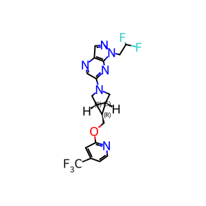 FC(F)Cn1ncc2ncc(N3C[C@@H]4[C@@H](COc5cc(C(F)(F)F)ccn5)[C@@H]4C3)nc21